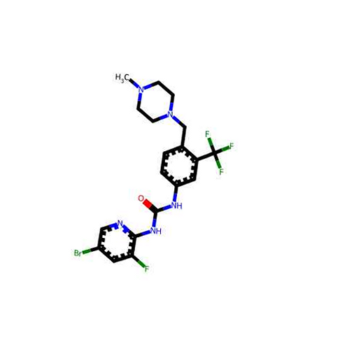 CN1CCN(Cc2ccc(NC(=O)Nc3ncc(Br)cc3F)cc2C(F)(F)F)CC1